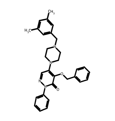 Cc1cc(C)cc(CN2CCN(c3cnn(-c4ccccc4)c(=O)c3OCc3ccccc3)CC2)c1